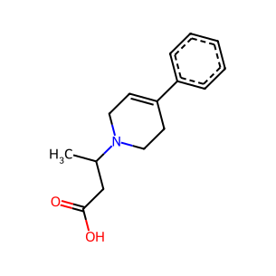 CC(CC(=O)O)N1CC=C(c2ccccc2)CC1